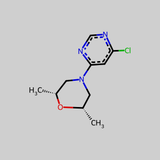 C[C@@H]1CN(c2cc(Cl)ncn2)C[C@H](C)O1